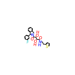 O=C(NCCc1cccs1)C(O)C(O)C(=O)N1Cc2ccccc2C1c1cccc(F)c1